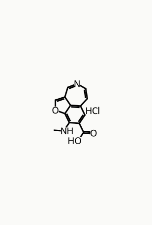 CNc1c(C(=O)O)cc2c3c(coc13)C=NC=C2.Cl